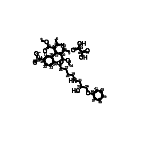 COC(=O)c1c(C)nc(C)c(C(=O)OC)c1-c1cc([N+](=O)[O-])ccc1OCCCCNCC(O)COc1ccccc1.O=C(O)C(=O)O